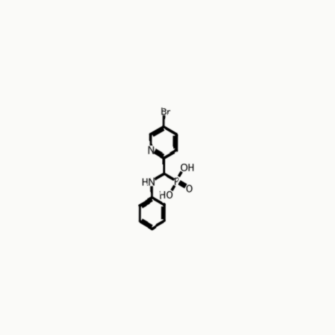 O=P(O)(O)C(Nc1ccccc1)c1ccc(Br)cn1